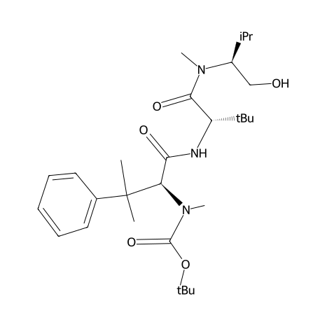 CC(C)[C@@H](CO)N(C)C(=O)[C@@H](NC(=O)[C@@H](N(C)C(=O)OC(C)(C)C)C(C)(C)c1ccccc1)C(C)(C)C